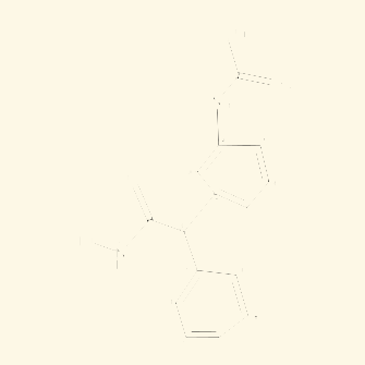 CC(C)(C)C(=O)Nc1cccc(C(C(=O)NO)c2ccccc2)c1